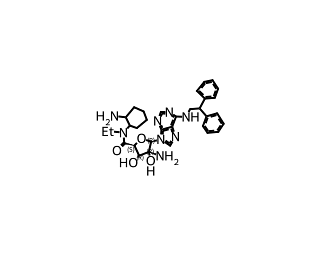 CCN(C(=O)[C@H]1O[C@@H](n2cnc3c(NCC(c4ccccc4)c4ccccc4)ncnc32)[C@](N)(O)[C@@H]1O)C1CCCCC1N